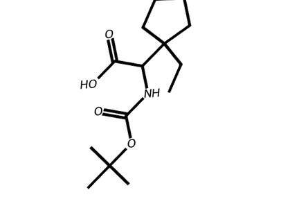 CCC1(C(NC(=O)OC(C)(C)C)C(=O)O)CCCC1